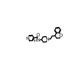 O=C(NC1CCN(CCC2CCOc3ccccc32)CC1)c1ccncc1